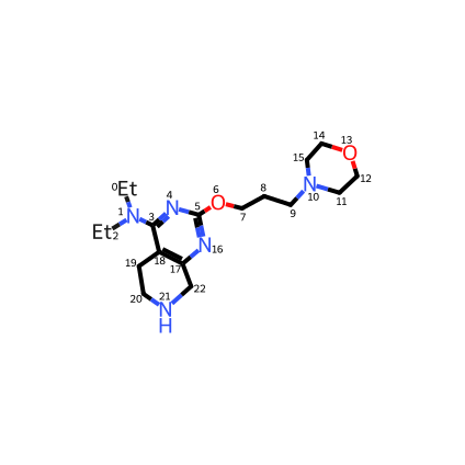 CCN(CC)c1nc(OCCCN2CCOCC2)nc2c1CCNC2